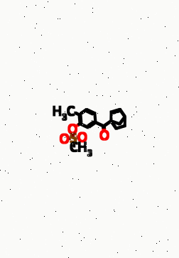 Cc1ccc(C(=O)C23C=CC(CC2)C3)cc1OS(C)(=O)=O